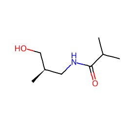 CC(C)C(=O)NC[C@@H](C)CO